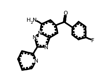 Nc1cc(C(=O)c2ccc(F)cc2)cc2nc(-c3ccccn3)nn12